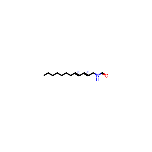 CCCCCCC/C=C/C=C/CNC=O